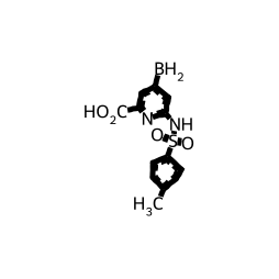 Bc1cc(NS(=O)(=O)c2ccc(C)cc2)nc(C(=O)O)c1